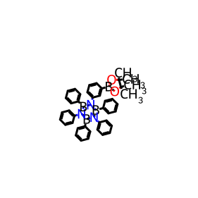 CC1(C)OB(c2cccc(N3B(c4ccccc4)N(c4ccccc4)B(c4ccccc4)N(c4ccccc4)B3c3ccccc3)c2)OC1(C)C